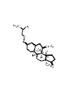 C=C1CC2CC(=NOCC(C)N)CC[C@]2(C)[C@H]2CC[C@]3(C)C(=O)CC[C@H]3[C@H]12